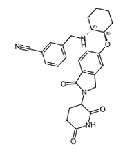 N#Cc1cccc(CN[C@@H]2CCCC[C@H]2Oc2ccc3c(c2)CN(C2CCC(=O)NC2=O)C3=O)c1